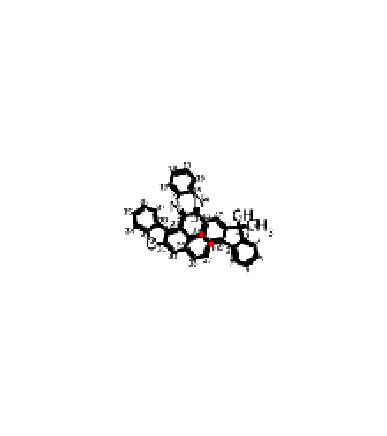 CC1(C)c2ccccc2-c2ccc(-c3nc4ccccc4nc3-c3c4ccccc4cc4oc5ccccc5c34)cc21